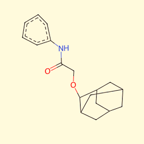 O=C(COC1C2CC3CC(C2)CC1C3)Nc1ccccc1